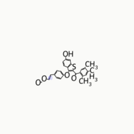 Cc1cc(C)c(C(=O)c2sc3cc(O)ccc3c2Oc2ccc(/C=C/OC=O)cc2)cc1C